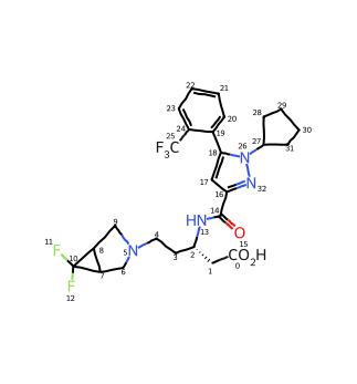 O=C(O)C[C@H](CCN1CC2C(C1)C2(F)F)NC(=O)c1cc(-c2ccccc2C(F)(F)F)n(C2CCCC2)n1